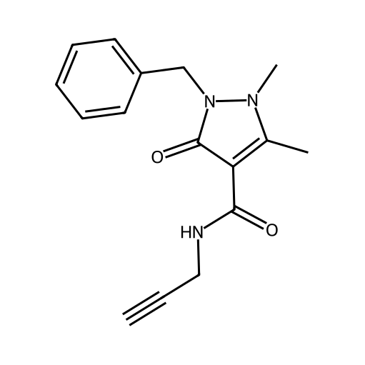 C#CCNC(=O)c1c(C)n(C)n(Cc2ccccc2)c1=O